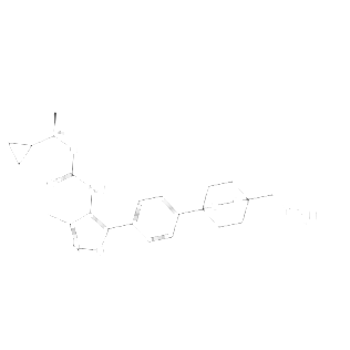 Cc1noc(-c2ccc(C34CCC(CC(=O)O)(CC3)CO4)cc2)c1NC(=O)O[C@H](C)C1CC1